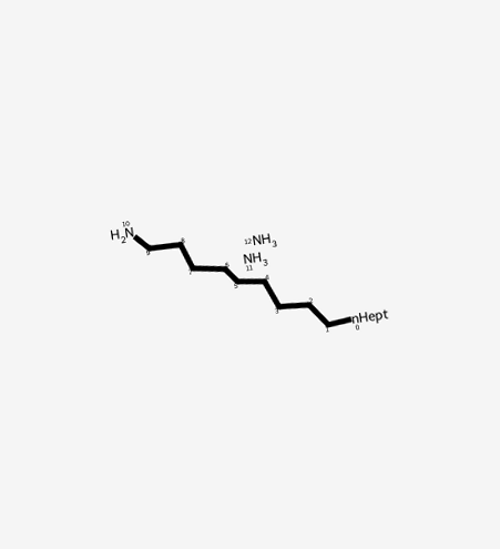 CCCCCCCCCCCCCCCCN.N.N